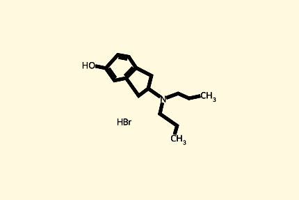 Br.CCCN(CCC)C1Cc2ccc(O)cc2C1